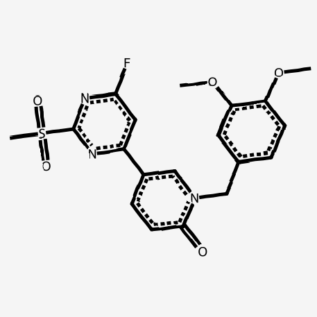 COc1ccc(Cn2cc(-c3cc(F)nc(S(C)(=O)=O)n3)ccc2=O)cc1OC